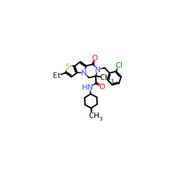 CCc1cc2c(cc3n2CC(C)(C(=O)NC2CCC(C)CC2)N(Cc2ccccc2Cl)C3=O)s1